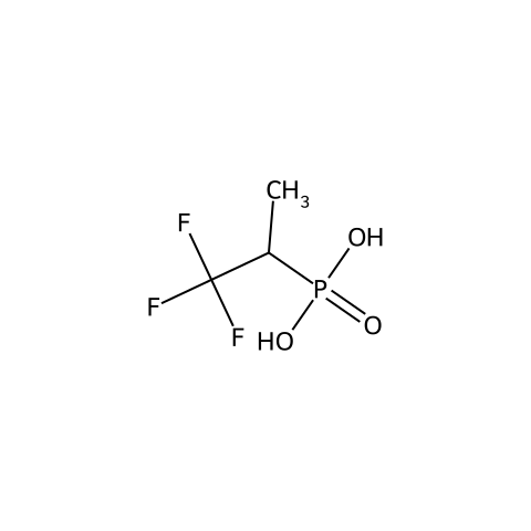 CC(C(F)(F)F)P(=O)(O)O